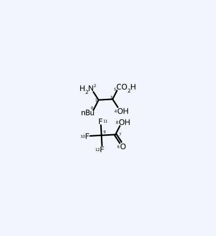 CCCCC(N)C(O)C(=O)O.O=C(O)C(F)(F)F